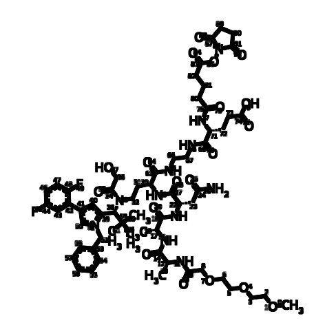 COCCOCCOCC(=O)N[C@@H](C)C(=O)N[C@H](C)C(=O)N[C@@H](CC(N)=O)C(=O)N[C@@H](CCN(C(=O)CO)[C@@H](c1cc(-c2cc(F)ccc2F)cn1Cc1ccccc1)C(C)(C)C)C(=O)NCCNC(=O)[C@@H](CCC(=O)O)NC(=O)CCCC(=O)ON1C(=O)CCC1=O